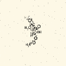 COc1cccc(-c2ccc(C[C@H](NC(=O)O)[C@@H](O)C[C@H](Cc3ccccc3)NC(=O)[C@@H](N3CCN(Cc4cccc(C)n4)C3=O)C(C)(C)C)cc2)n1